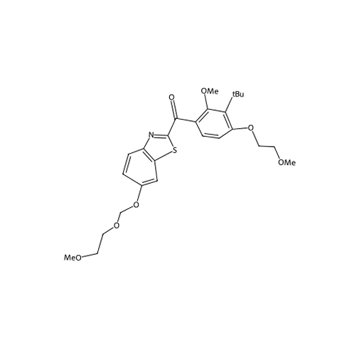 COCCOCOc1ccc2nc(C(=O)c3ccc(OCCOC)c(C(C)(C)C)c3OC)sc2c1